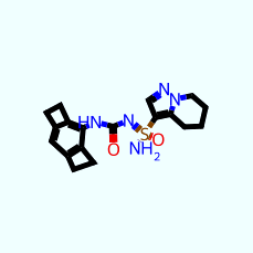 NS(=O)(=NC(=O)Nc1c2c(cc3c1CC3)CC2)c1cnn2c1CCCC2